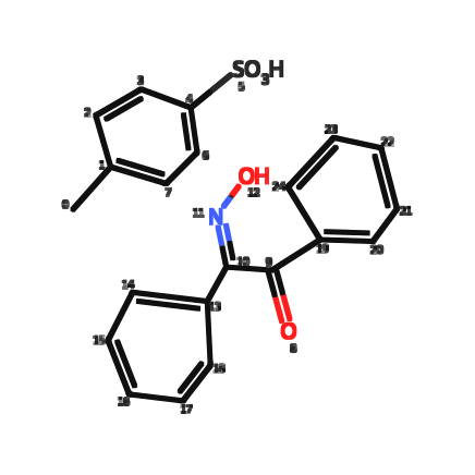 Cc1ccc(S(=O)(=O)O)cc1.O=C(C(=NO)c1ccccc1)c1ccccc1